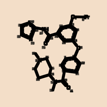 CC(C)Oc1cc(Oc2ccc(C(=O)N(C)C3CCN(C)CC3)cc2)cc(C(=O)Nc2nccs2)c1